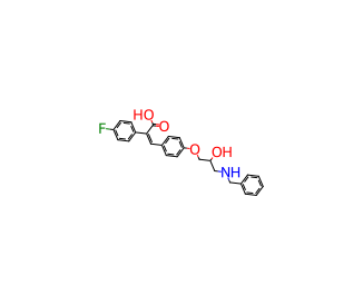 O=C(O)C(=Cc1ccc(OCC(O)CNCc2ccccc2)cc1)c1ccc(F)cc1